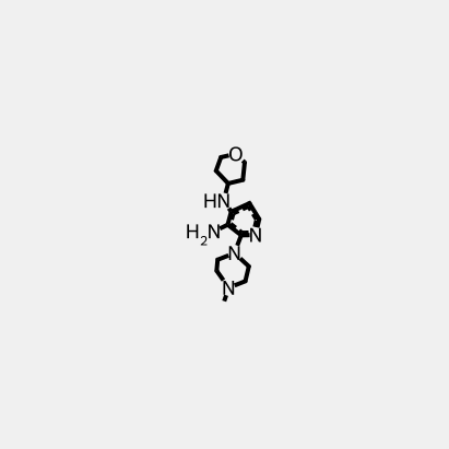 CN1CCN(c2nccc(NC3CCOCC3)c2N)CC1